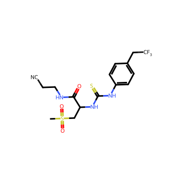 CS(=O)(=O)CC(NC(=S)Nc1ccc(CC(F)(F)F)cc1)C(=O)NCCC#N